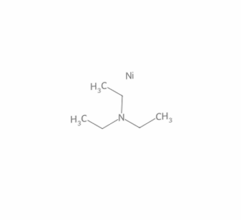 CCN(CC)CC.[Ni]